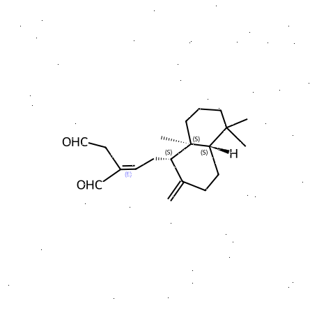 C=C1CC[C@H]2C(C)(C)CCC[C@]2(C)[C@H]1C/C=C(/C=O)CC=O